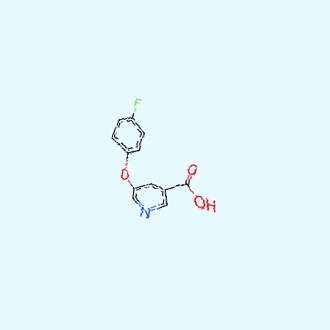 O=C(O)c1cncc(Oc2ccc(F)cc2)c1